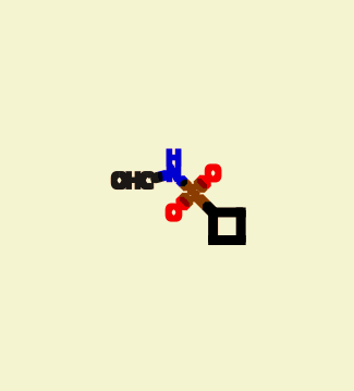 O=CNS(=O)(=O)C1CCC1